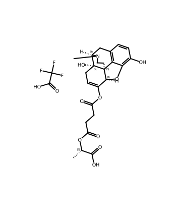 C[C@H](OC(=O)CCC(=O)OC1=CC[C@@]2(O)[C@H]3Cc4ccc(O)c5c4[C@@]2(CCN3C)[C@H]1O5)C(=O)O.O=C(O)C(F)(F)F